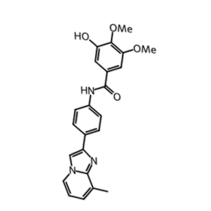 COc1cc(C(=O)Nc2ccc(-c3cn4cccc(C)c4n3)cc2)cc(O)c1OC